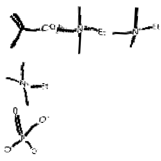 C=C(C)C(=O)OCC.CC[N+](C)(C)C.CC[N+](C)(C)C.CC[N+](C)(C)C.O=P([O-])([O-])[O-]